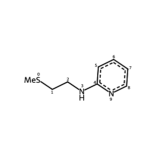 CSCCNc1ccccn1